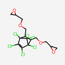 ClC1=C(Cl)C2(Cl)C(COCC3CO3)C(COCC3CO3)C1(Cl)C2(Cl)Cl